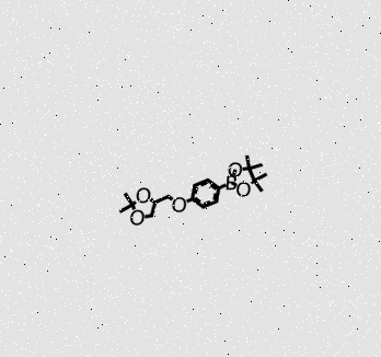 CC1(C)OCC(COc2ccc(B3OC(C)(C)C(C)(C)O3)cc2)O1